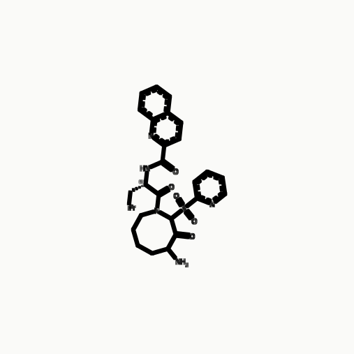 CC(C)C[C@H](NC(=O)c1ccc2ccccc2n1)C(=O)N1CCCCC(N)C(=O)C1S(=O)(=O)c1ccccn1